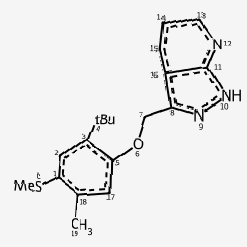 CSc1cc(C(C)(C)C)c(OCc2n[nH]c3ncccc23)cc1C